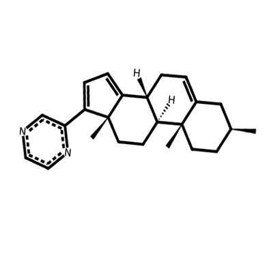 C[C@H]1CC[C@@]2(C)C(=CC[C@H]3C4=CC=C(c5cnccn5)[C@@]4(C)CC[C@@H]32)C1